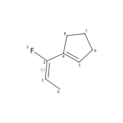 C/C=C(/F)C1=CCCC1